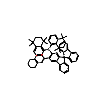 CC1(C)CCC(C)(C)c2c(N(c3cc4c(cc3-c3ccc5c(c3)CCCC5)-c3ccccc3C43c4ccccc4-c4ccccc43)c3cccc4c3C(C)(C)CCC4(C)C)cccc21